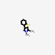 Cc1c2sc3ccccc3c2cn1C